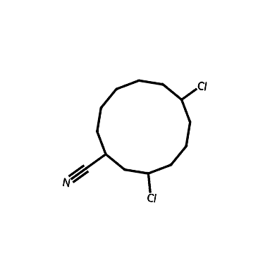 N#CC1CCCCCC(Cl)CCCC(Cl)C1